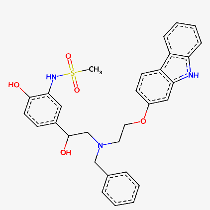 CS(=O)(=O)Nc1cc(C(O)CN(CCOc2ccc3c(c2)[nH]c2ccccc23)Cc2ccccc2)ccc1O